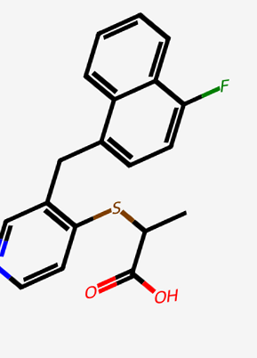 CC(Sc1ccncc1Cc1ccc(F)c2ccccc12)C(=O)O